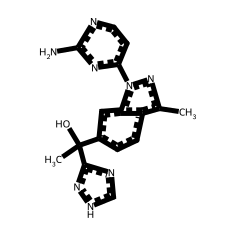 Cc1nn(-c2ccnc(N)n2)c2cc(C(C)(O)c3nc[nH]n3)ccc12